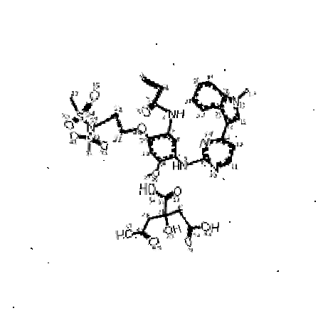 C=CC(=O)Nc1cc(Nc2nccc(-c3cn(C)c4ccccc34)n2)c(OC)cc1OCCN(S(C)(=O)=O)S(C)(=O)=O.O=C(O)CC(O)(CC(=O)O)C(=O)O